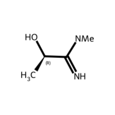 CNC(=N)[C@@H](C)O